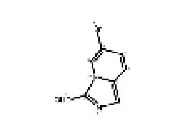 O=Cc1ncc2ccc(Br)cn12